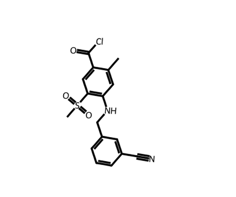 Cc1cc(NCc2cccc(C#N)c2)c(S(C)(=O)=O)cc1C(=O)Cl